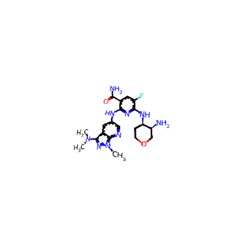 CN(C)c1nn(C)c2ncc(Nc3nc(N[C@@H]4CCOC[C@@H]4N)c(F)cc3C(N)=O)cc12